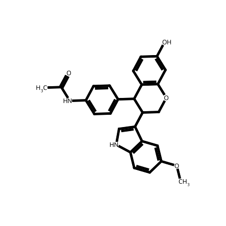 COc1ccc2[nH]cc(C3COc4cc(O)ccc4C3c3ccc(NC(C)=O)cc3)c2c1